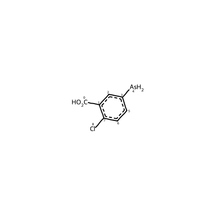 O=C(O)c1cc([AsH2])ccc1Cl